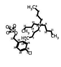 CCCC[N+](CCCC)(CCCC)CCCC.O=S(=O)([O-])OCc1ccc(Cl)cc1